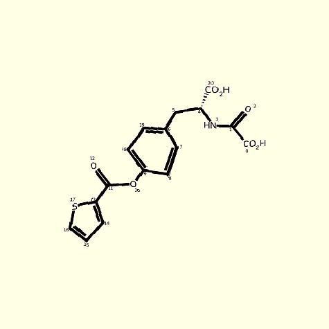 O=C(O)C(=O)N[C@H](Cc1ccc(OC(=O)c2cccs2)cc1)C(=O)O